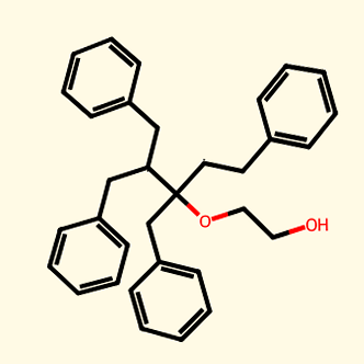 OCCOC([CH]Cc1ccccc1)(Cc1ccccc1)[C](Cc1ccccc1)Cc1ccccc1